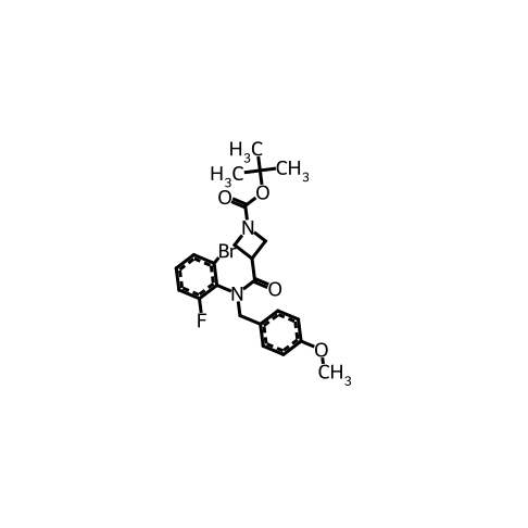 COc1ccc(CN(C(=O)C2CN(C(=O)OC(C)(C)C)C2)c2c(F)cccc2Br)cc1